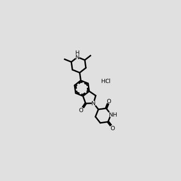 CC1CC(c2ccc3c(c2)CN(C2CCC(=O)NC2=O)C3=O)CC(C)N1.Cl